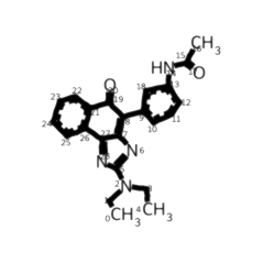 CCN(CC)C1=NC2=C(c3cccc(NC(C)=O)c3)C(=O)c3ccccc3C2=N1